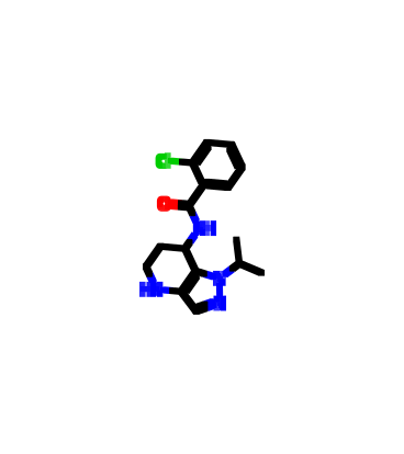 CC(C)n1ncc2c1C(NC(=O)c1ccccc1Cl)CCN2